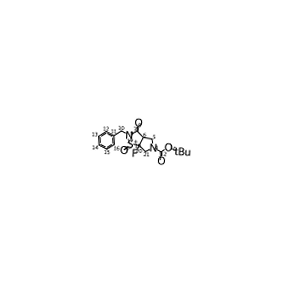 CC(C)(C)OC(=O)N1CC2C(=O)N(Cc3ccccc3)[S+]([O-])C2(F)C1